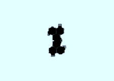 CC1=CC=CC(N(c2c#ccc(C)c2)c2ccc(-c3ccc(N(c4cccc(C)c4)c4cccc(C)c4)cc3C)c(C)c2)C1